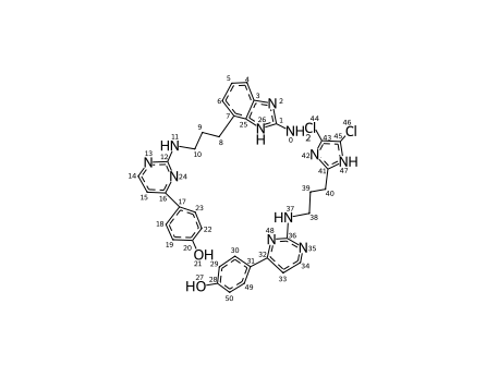 Nc1nc2cccc(CCCNc3nccc(-c4ccc(O)cc4)n3)c2[nH]1.Oc1ccc(-c2ccnc(NCCCc3nc(Cl)c(Cl)[nH]3)n2)cc1